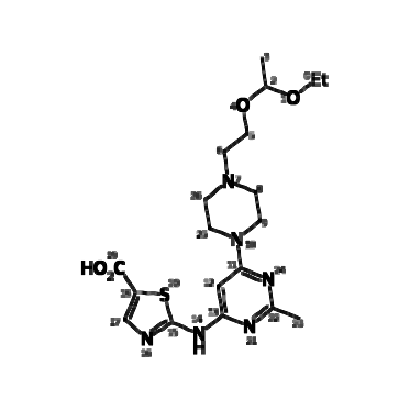 CCOC(C)OCCN1CCN(c2cc(Nc3ncc(C(=O)O)s3)nc(C)n2)CC1